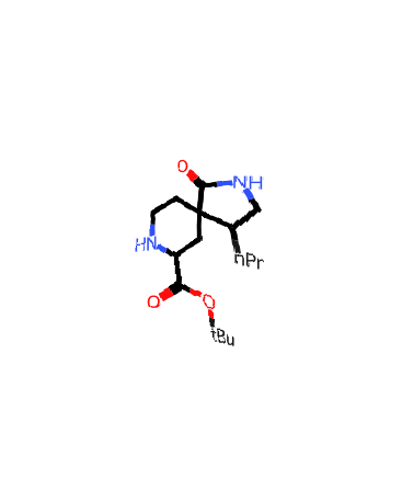 CCCC1CNC(=O)C12CCNC(C(=O)OC(C)(C)C)C2